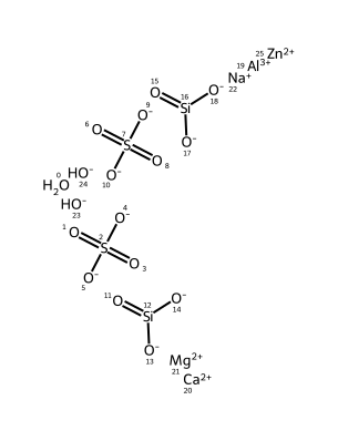 O.O=S(=O)([O-])[O-].O=S(=O)([O-])[O-].O=[Si]([O-])[O-].O=[Si]([O-])[O-].[Al+3].[Ca+2].[Mg+2].[Na+].[OH-].[OH-].[Zn+2]